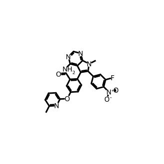 Cc1cccc(Oc2ccc(-c3c(-c4ccc([N+](=O)[O-])c(F)c4)n(C)c4ncnc(N)c34)c(C=O)c2)n1